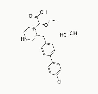 CCOC(C(=O)O)N1CCNCC1Cc1ccc(-c2ccc(Cl)cc2)cc1.Cl.Cl